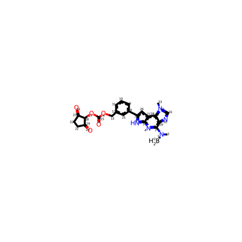 BN(C)c1nc2[nH]c(-c3cccc(COC(=O)OC4C(=O)CCC4=O)c3)cc2c2c1ncn2C